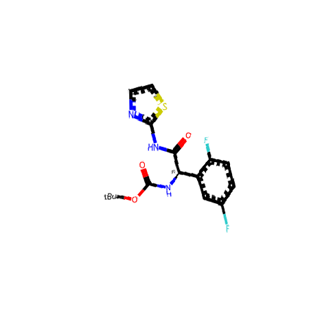 CC(C)(C)OC(=O)N[C@@H](C(=O)Nc1nccs1)c1cc(F)ccc1F